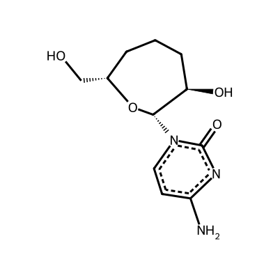 Nc1ccn([C@@H]2O[C@H](CO)CCC[C@H]2O)c(=O)n1